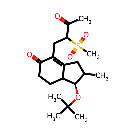 CC(=O)C(CC1=C2CC(C)[C@@H](OC(C)(C)C)C2CCC1=O)S(C)(=O)=O